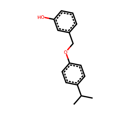 CC(C)c1ccc(OCc2cccc(O)c2)cc1